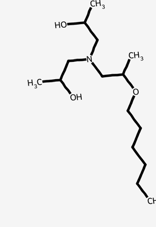 CCCCCCOC(C)CN(CC(C)O)CC(C)O